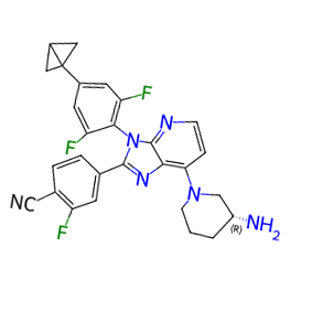 N#Cc1ccc(-c2nc3c(N4CCC[C@@H](N)C4)ccnc3n2-c2c(F)cc(C34CC3C4)cc2F)cc1F